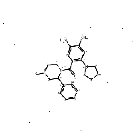 CN1CCN(C(=O)c2cc(N)c(N)cc2N2CCCC2)C(c2ccccc2)C1